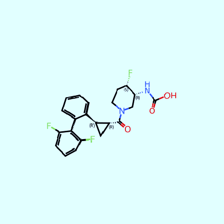 O=C(O)N[C@@H]1CN(C(=O)[C@@H]2C[C@H]2c2ccccc2-c2c(F)cccc2F)CC[C@@H]1F